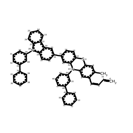 C=C/C=C\c1cc2c(cc1C)Sc1ccc(-c3ccc4c(c3)c3ccccc3n4-c3cccc(-c4ccccc4)c3)cc1N2c1cccc(-c2ccccc2)c1